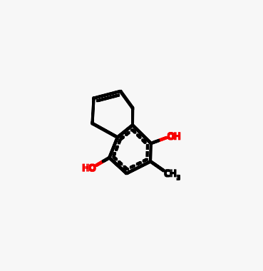 Cc1cc(O)c2c(c1O)CC=CC2